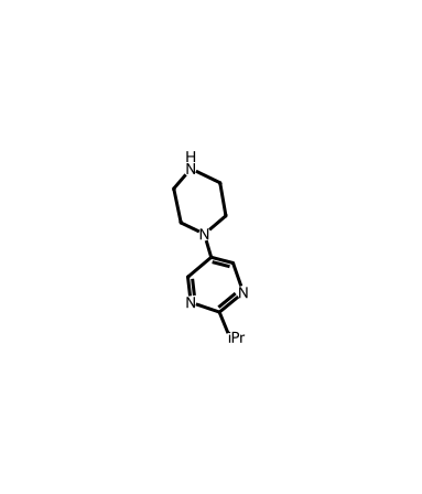 CC(C)c1ncc(N2CCNCC2)cn1